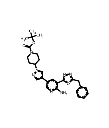 CC(C)(C)OC(=O)N1CCC(n2cc(-c3cnc(N)c(-c4nnc(Cc5ccccc5)o4)c3)cn2)CC1